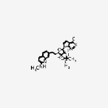 CNc1ccc2ccc(CC[C@H]3O[C@@H](n4ccc5c(Cl)ncnc54)[C@@H]4OC(C)(C)O[C@@H]43)cc2n1